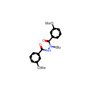 COc1cccc(C(=O)NN(C(=O)c2cccc(OC)c2)C(C)(C)C)c1